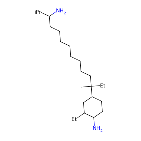 CCC1CC(C(C)(CC)CCCCCCCCC(N)C(C)C)CCC1N